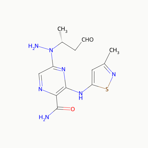 Cc1cc(Nc2nc(N(N)[C@H](C)CC=O)cnc2C(N)=O)sn1